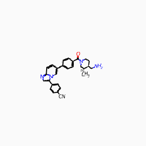 C[C@@H]1CN(C(=O)c2ccc(-c3ccc4ncc(-c5ccc(C#N)cc5)n4c3)cc2)CCC1CN